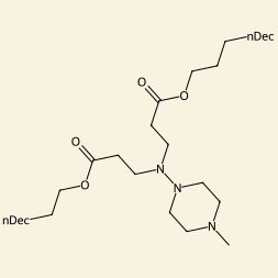 CCCCCCCCCCCCCOC(=O)CCN(CCC(=O)OCCCCCCCCCCCC)N1CCN(C)CC1